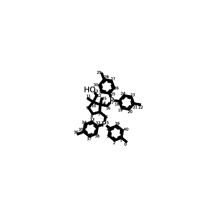 Cc1ccc(P(CC2CCC(C)(CO)C2(C)CP(c2ccc(C)cc2)c2ccc(C)cc2)c2ccc(C)cc2)cc1